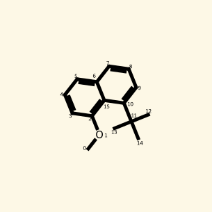 COc1cccc2cccc(C(C)(C)C)c12